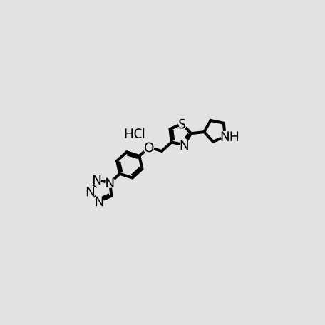 Cl.c1cc(-n2cnnn2)ccc1OCc1csc(C2CCNC2)n1